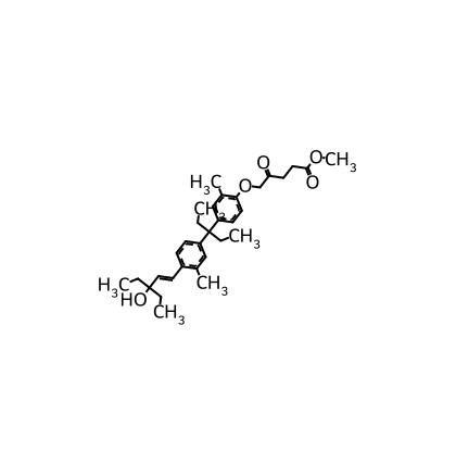 CCC(O)(C=Cc1ccc(C(CC)(CC)c2ccc(OCC(=O)CCC(=O)OC)c(C)c2)cc1C)CC